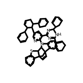 C1=CCCC(C2CC=CC(C3C=CC=CC3)C2c2cnc(N3c4ccccc4C45C=CC6(C4)c4ccccc4SC6C35)c(C3=NC(C4C=CC=CC4)NC(C4=CCCC=C4)=N3)c2)=C1